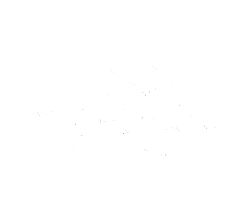 C=CC(=O)N1CC(C)N(c2nc(=O)n(-c3c(C(C)C)nc(CN4CCCC4)nc3C(C)C)c3nc(-c4ccccc4F)c(Cl)cc23)CC1C